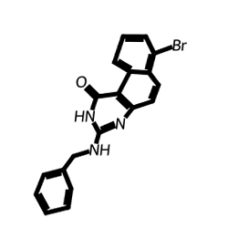 O=c1[nH]c(NCc2ccccc2)nc2ccc3c(Br)cccc3c12